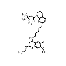 CCOC(=O)CC(NCCCCCc1ccc2c(n1)N(C(=O)OC(C)(C)C)CCC2)c1ccc(OC)c(F)c1